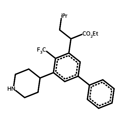 CCOC(=O)C(CC(C)C)c1cc(-c2ccccc2)cc(C2CCNCC2)c1C(F)(F)F